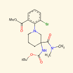 COC(=O)c1cccc(Br)c1N1CCCC(NC(=O)OC(C)(C)C)(C(=O)N(C)C)C1